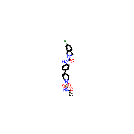 CCC(=O)NS(=O)(=O)N1CC=C(c2ccc(NC(=O)N3Cc4ccc(F)cc4C3)cc2)CC1